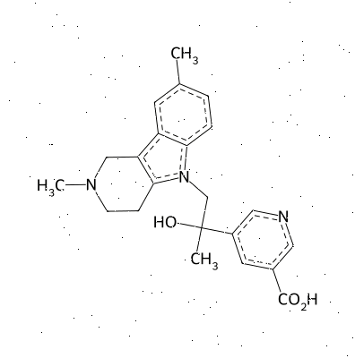 Cc1ccc2c(c1)c1c(n2CC(C)(O)c2cncc(C(=O)O)c2)CCN(C)C1